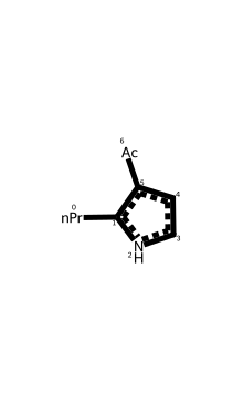 CCCc1[nH]ccc1C(C)=O